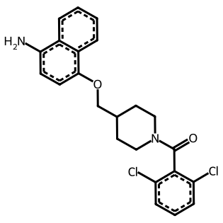 Nc1ccc(OCC2CCN(C(=O)c3c(Cl)cccc3Cl)CC2)c2ccccc12